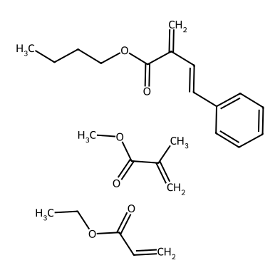 C=C(C)C(=O)OC.C=C(C=Cc1ccccc1)C(=O)OCCCC.C=CC(=O)OCC